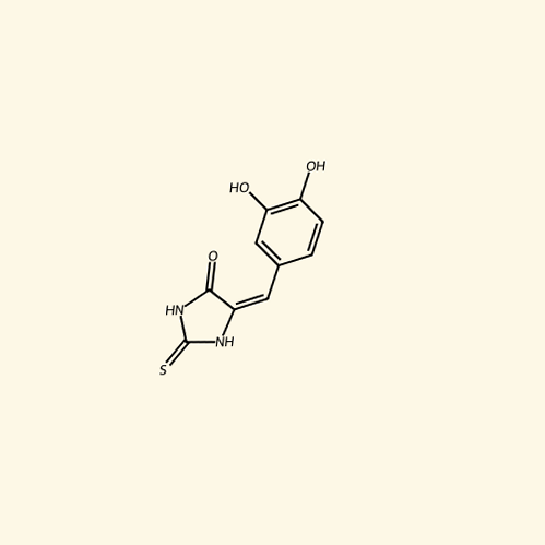 O=C1NC(=S)NC1=Cc1ccc(O)c(O)c1